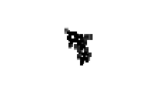 O=S(=O)(O)C(F)(c1ccc(F)cc1F)C(F)(F)OC(F)(F)C(F)(F)F